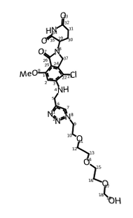 COc1cc(NCc2cn(CCOCCOCCOCO)nn2)c(Cl)c2c1C(=O)N(C1CCC(=O)NC1=O)C2